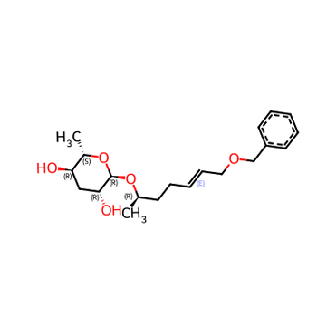 C[C@H](CC/C=C/COCc1ccccc1)O[C@@H]1O[C@@H](C)[C@H](O)C[C@H]1O